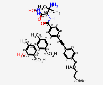 COCC[AsH]Cc1ccc(C#Cc2ccc(C(=O)N[C@H](C(=O)NO)C(C)(C)N)cc2)cc1.Cc1ccc(S(=O)(=O)O)cc1.Cc1ccc(S(=O)(=O)O)cc1.O